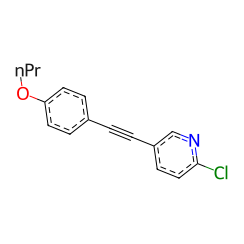 CCCOc1ccc(C#Cc2ccc(Cl)nc2)cc1